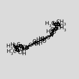 Cc1ccc(S(=O)(=O)N[C@H]2CCN(CCOCCNC(=O)NCCCCNC(=O)NCCOCCN3CC[C@H](NS(=O)(=O)c4ccc(C)c(C5CN(C)Cc6c(C)cc(Cl)cc65)c4)C3)C2)cc1C1CN(C)Cc2c(C)cc(Cl)cc21